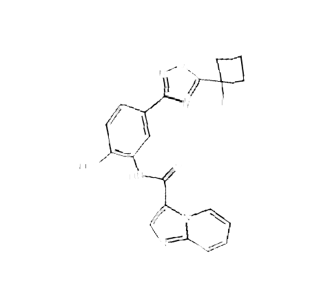 Cc1ccc(-c2noc(C3(F)CCC3)n2)cc1NC(=O)c1cnc2ccccn12